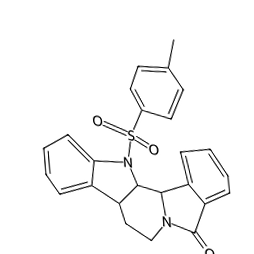 Cc1ccc(S(=O)(=O)N2c3ccccc3C3CCN4C(=O)c5ccccc5C4C32)cc1